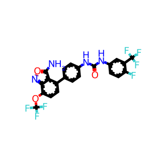 Nc1onc2c(OC(F)(F)F)ccc(-c3ccc(NC(=O)Nc4ccc(F)c(C(F)(F)F)c4)cc3)c12